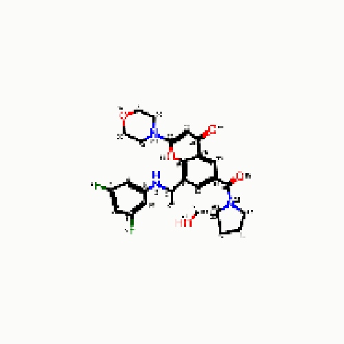 CC(Nc1cc(F)cc(F)c1)c1cc(C(=O)N2CCC[C@@H]2CO)cc2c(=O)cc(N3CCOCC3)oc12